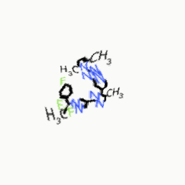 Cc1cnc(-c2cnn([C@H](c3ccc(F)cc3)C(C)(F)F)c2)nc1-c1ccn2nc(-n3c(C)ccc3C)nc2c1